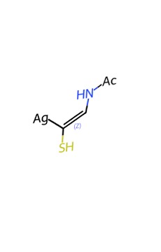 CC(=O)N/C=[C](/S)[Ag]